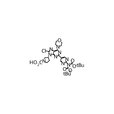 CC(C)(C)OC(=O)N(C(=O)OC(C)(C)C)c1ncc(-c2nc(N3CCOCC3)c3nc(Cl)n([C@H]4CCN(C(=O)O)C4)c3n2)cn1